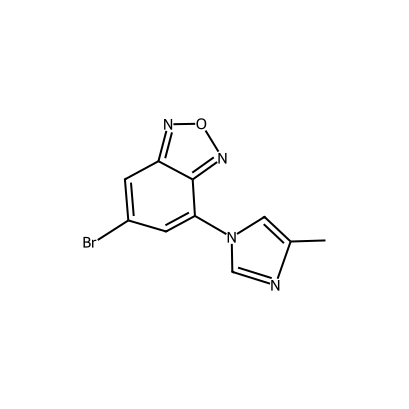 Cc1cn(-c2cc(Br)cc3nonc23)cn1